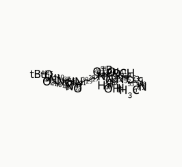 Cc1ncsc1-c1ccc([C@H](C)NC(=O)[C@@H]2C[C@@H](O)CN2C(=O)[C@@H](NC(=O)CCCCCNC(=O)c2ccc(N3CCN(C(=O)OC(C)(C)C)CC3)cn2)C(C)(C)C)cc1